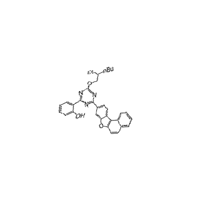 CCCCC(CC)COc1nc(-c2ccc3c(c2)oc2ccc4ccccc4c23)nc(-c2ccccc2O)n1